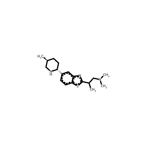 CC(CN(C)C)c1nc2cc([C@H]3CC[C@H](C)CN3)ccc2s1